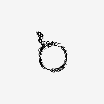 O=C(O)[C@H](Cc1ccc(Oc2nccc3ccncc23)cc1)NC1=CC(=O)C12CCCCCCCCCCCCCCCCCCCCCCCCCCCCCCCCCCCCCCCCCCCCCCCCCCC2